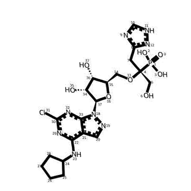 O=P(O)(O)[C@@](CO)(Cc1nc[nH]n1)OC[C@H]1O[C@@H](n2ncc3c(NC4CCCC4)nc(Cl)nc32)[C@H](O)[C@@H]1O